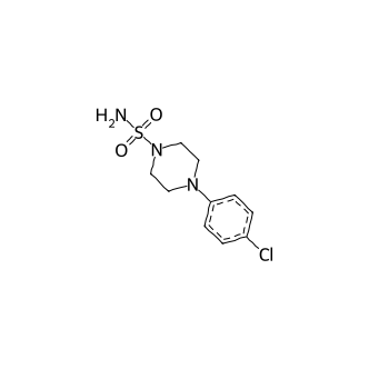 NS(=O)(=O)N1CCN(c2ccc(Cl)cc2)CC1